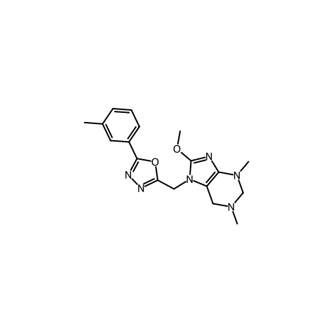 COc1nc2c(n1Cc1nnc(-c3cccc(C)c3)o1)CN(C)CN2C